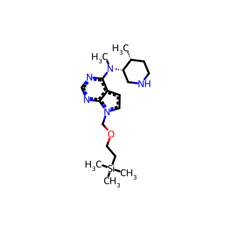 C[C@@H]1CCNC[C@@H]1N(C)c1ncnc2c1ccn2COCC[Si](C)(C)C